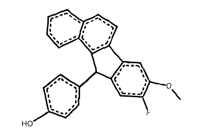 COc1cc2c(cc1F)C(c1ccc(O)cc1)c1c-2ccc2ccccc12